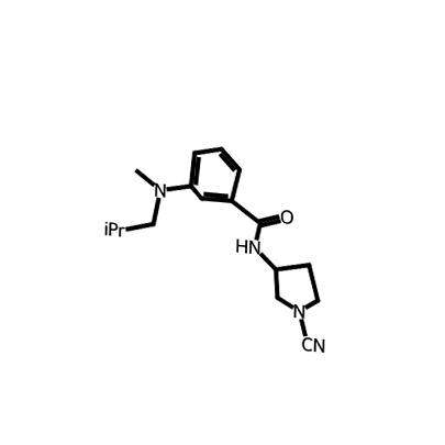 CC(C)CN(C)c1cccc(C(=O)NC2CCN(C#N)C2)c1